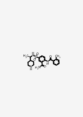 Cc1ccccc1C(=O)Nc1ccc(S(=O)(=O)N[C@H](C)C2CCNCC2)cc1C(N)=O